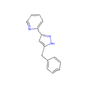 c1ccc(Cc2cc(-c3ccccn3)n[nH]2)cc1